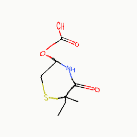 CC1(C)SCC(OC(=O)O)NC1=O